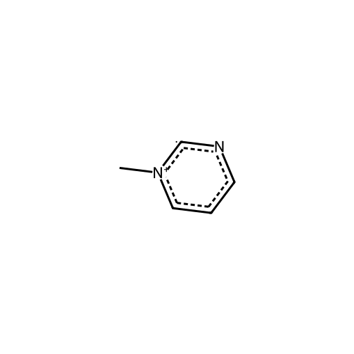 C[n+]1[c]nccc1